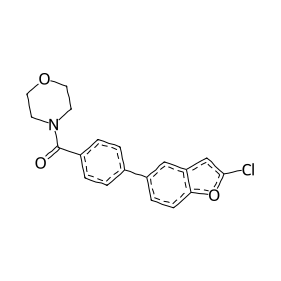 O=C(c1ccc(-c2ccc3oc(Cl)cc3c2)cc1)N1CCOCC1